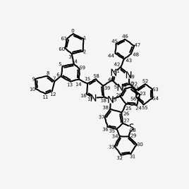 c1ccc(-c2cc(-c3ccccc3)cc(-c3cnc(-n4c5ccccc5c5c6sc7ccccc7c6ccc54)c(-c4nc(-c5ccccc5)nc(-c5ccccc5)n4)c3)c2)cc1